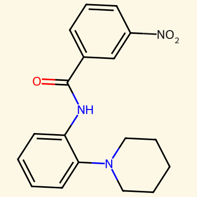 O=C(Nc1ccccc1N1CCCCC1)c1cccc([N+](=O)[O-])c1